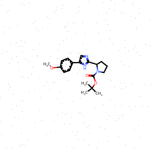 COc1ccc(-c2cnc(C3CCCN3C(=O)OC(C)(C)C)[nH]2)cc1